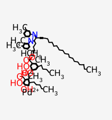 CCCCCCCCCCCCCCCCCC#CC(=Nc1cc(C)cc(C)c1)C(CCCC)=Nc1cc(C)cc(C)c1.CCCCCc1cc(O)c(O)c(C(=O)[O-])c1C.CCCCCc1cc(O)c(O)c(C(=O)[O-])c1C.[Pd+2]